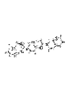 C1=C(c2ccc3c(c2)SCCC3)Oc2ccc(C3Cc4ccccc4CO3)cc2C1